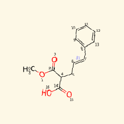 COC(=O)C(C/C=C/c1ccccc1)C(=O)O